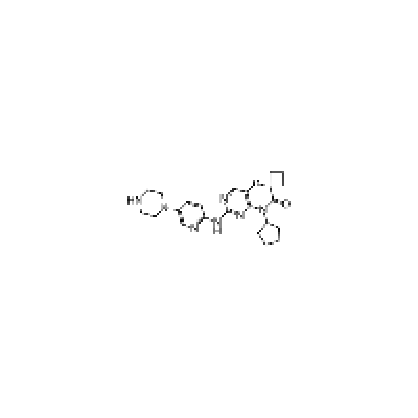 O=C1N(C2CCCC2)c2nc(Nc3ccc(N4CCNCC4)cn3)ncc2OC12CCC2